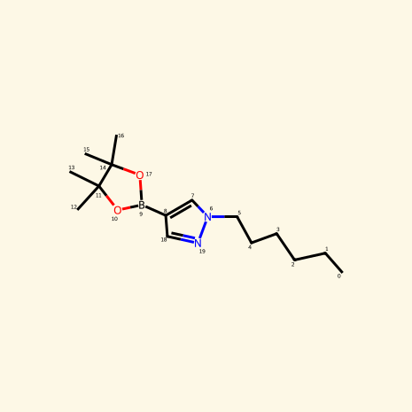 CCCCCCn1cc(B2OC(C)(C)C(C)(C)O2)cn1